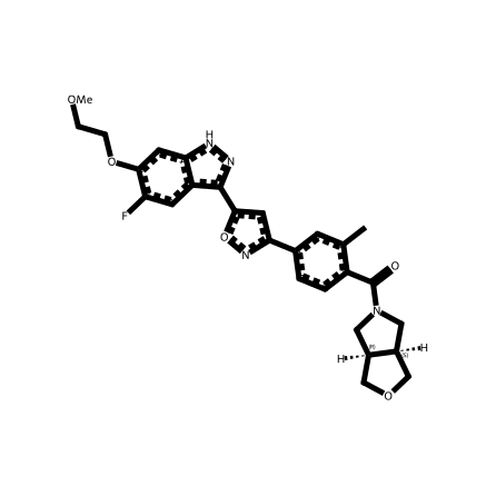 COCCOc1cc2[nH]nc(-c3cc(-c4ccc(C(=O)N5C[C@H]6COC[C@H]6C5)c(C)c4)no3)c2cc1F